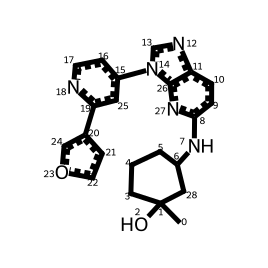 CC1(O)CCCC(Nc2ccc3ncn(-c4ccnc(-c5ccoc5)c4)c3n2)C1